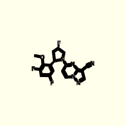 COc1c(F)cc(F)cc1[C@H]1C[C@H](F)CN1c1ccn2ncc(C#N)c2n1